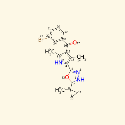 Cc1[nH]c(C2=NNC(C3(C)CC3)O2)c(C)c1C(=O)c1cccc(Br)c1